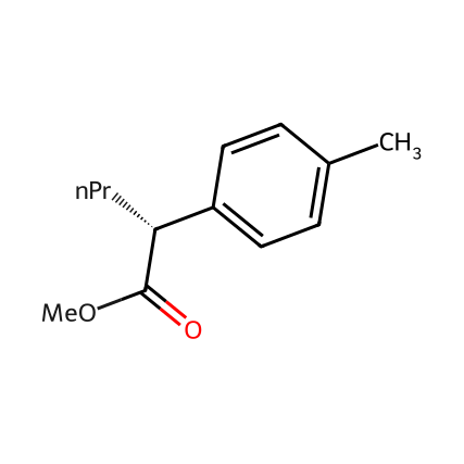 CCC[C@@H](C(=O)OC)c1ccc(C)cc1